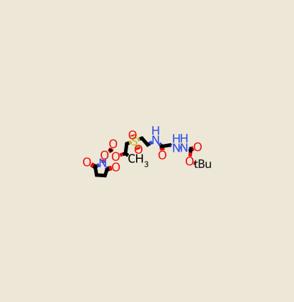 CC(CS(=O)(=O)CCNC(=O)CNNC(=O)OC(C)(C)C)OC(=O)ON1C(=O)CCC1=O